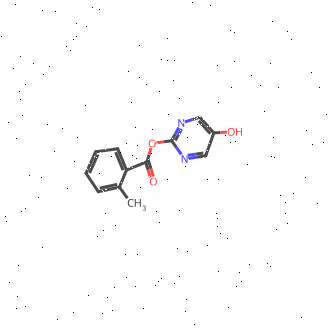 Cc1ccccc1C(=O)Oc1ncc(O)cn1